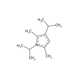 Cc1cc(C(C)C)c(C)n1C(C)C